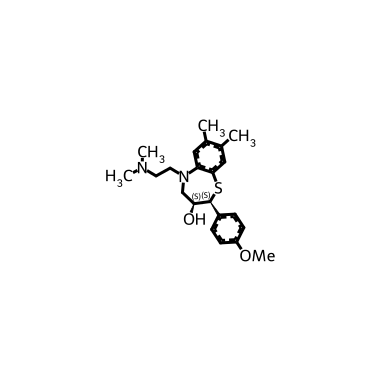 COc1ccc([C@@H]2Sc3cc(C)c(C)cc3N(CCN(C)C)C[C@@H]2O)cc1